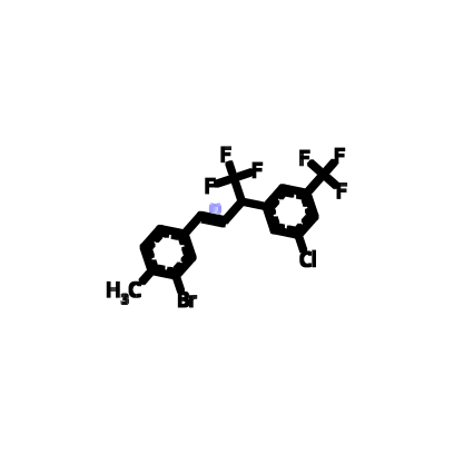 Cc1ccc(/C=C/C(c2cc(Cl)cc(C(F)(F)F)c2)C(F)(F)F)cc1Br